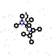 CC\C=C/C=C\C(=C/C(=C\CCn1c2c(-c3ccccc3)cc(-c3ccccc3)cc2c2cc(-c3ccccc3)cc(-c3ccccc3)c21)c1nc(-c2ccccc2)nc(-c2ccccc2)n1)c1ccccc1